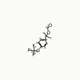 CC(C)(OC=O)c1ccc(OC(F)(F)F)cc1